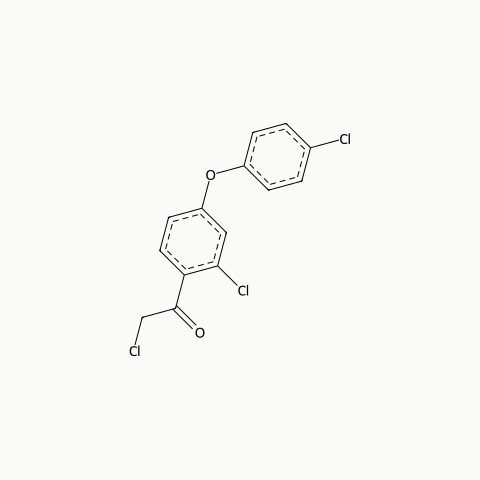 O=C(CCl)c1ccc(Oc2ccc(Cl)cc2)cc1Cl